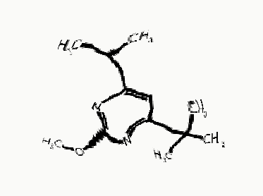 COc1nc(C(C)C)cc(C(C)(C)C)n1